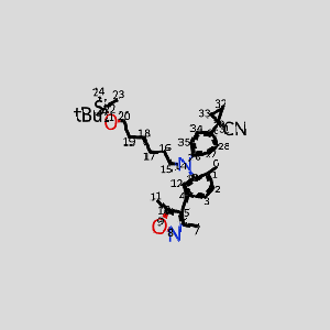 Cc1ccc(-c2c(C)noc2C)cc1N(CCCCCCO[Si](C)(C)C(C)(C)C)c1ccc(C2(C#N)CC2)cc1